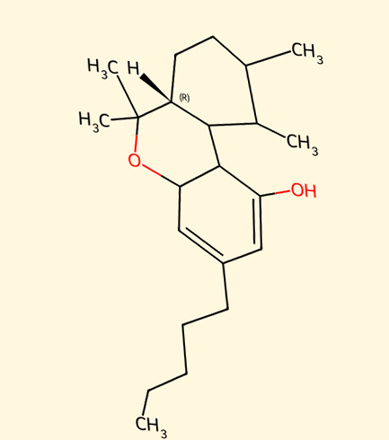 CCCCCC1=CC2OC(C)(C)[C@@H]3CCC(C)C(C)C3C2C(O)=C1